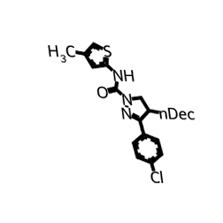 CCCCCCCCCCC1CN(C(=O)Nc2cc(C)cs2)N=C1c1ccc(Cl)cc1